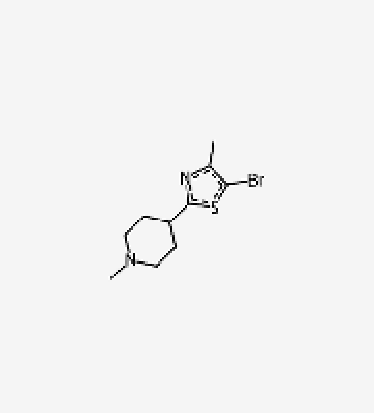 Cc1nc(C2CCN(C)CC2)sc1Br